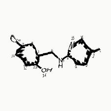 Cc1ccc(NCc2cc(Cl)ccc2O)nc1